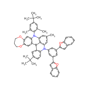 Cc1cc2c3c(c1)N(c1c(C)cc(C(C)(C)C)cc1C)c1cc4c(cc1B3c1cc(C(C)(C)C)ccc1N2c1cc(-c2cc3ccccc3o2)cc(-c2cc3ccccc3o2)c1)OCCCO4